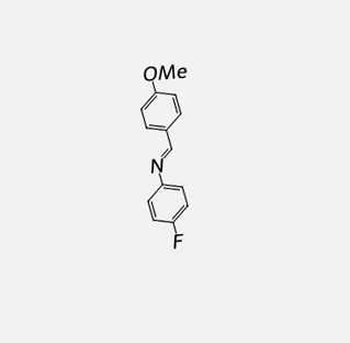 COc1ccc(C=Nc2ccc(F)cc2)cc1